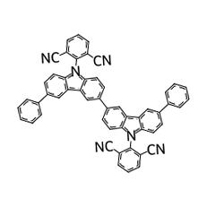 N#Cc1cccc(C#N)c1-n1c2ccc(-c3ccccc3)cc2c2cc(-c3ccc4c(c3)c3cc(-c5ccccc5)ccc3n4-c3c(C#N)cccc3C#N)ccc21